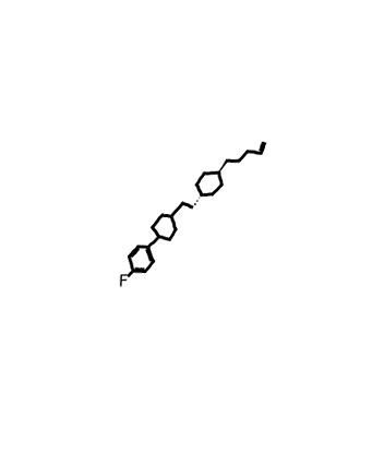 C=CCCC[C@H]1CC[C@H](CCC2CCC(c3ccc(F)cc3)CC2)CC1